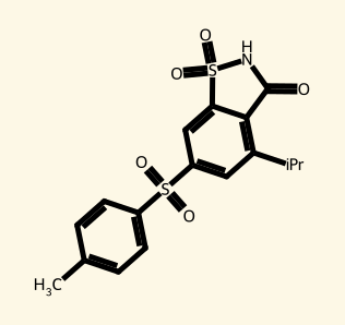 Cc1ccc(S(=O)(=O)c2cc(C(C)C)c3c(c2)S(=O)(=O)NC3=O)cc1